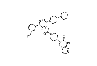 O=C(N[C@@H](CC(=O)N1CCC(N2Cc3ccccc3NC2=O)CC1)C(=O)N1CCC(N2CCCCC2)CC1)c1cccc(CI)c1